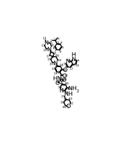 CC(C)c1ccccc1[C@H]1CN(C)CCN1C1CC2(CCN(c3ccc(C(=O)NS(=O)(=O)c4cnc(NCC5CCOCC5)c(N)c4)c(Oc4cnc5[nH]ccc5c4)c3)CC2)C1